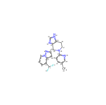 FC(F)c1cccn2nc([C@@H]3c4nc[nH]c4CCN3c3ccc(C(F)(F)F)cn3)cc12